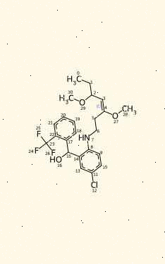 CCC(/C=C(\CCNc1ccc(Cl)cc1C(O)c1ccccc1C(F)(F)F)OC)OC